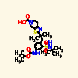 CC(C)OC(=O)Nc1ccc(CC(C)(C)c2nc3c(s2)CN(C(=O)O)CC3)c(S(=O)(=O)NC(C)(C)C)c1